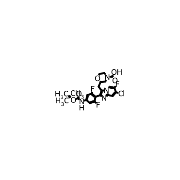 CC(C)(C)OC(=O)Nc1cc(F)c(-c2nc3cc(Cl)c(F)cn3c2CC2CN(C(=O)O)CCO2)c(F)c1